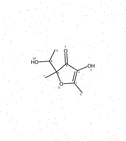 CC1=C(O)C(=O)C(C)(C(C)O)O1